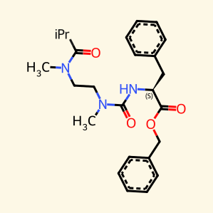 CC(C)C(=O)N(C)CCN(C)C(=O)N[C@@H](Cc1ccccc1)C(=O)OCc1ccccc1